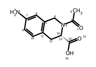 CC(=O)N1Cc2cc(N)ccc2C[C@H]1C(=O)O